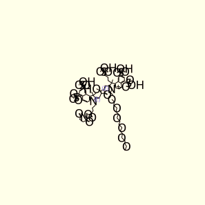 COCCOCCOCCOCCOCCOCC[N+]1=C(/C=C2\C(=O)C(/C=C3/N(CCCC(=O)ON4C(=O)CCC4=O)c4ccc5c(S(=O)(=O)[O-])cc(S(=O)(=O)O)cc5c4C3(C)C)=C2O)C(C)(CCCS(=O)(=O)O)c2c1ccc1c(S(=O)(=O)O)cc(S(=O)(=O)O)cc21